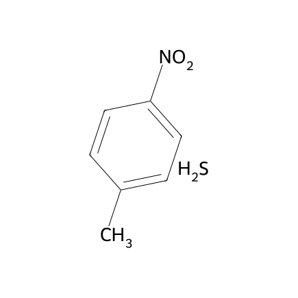 Cc1ccc([N+](=O)[O-])cc1.S